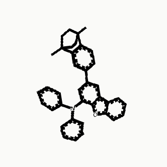 CC12CCC(C)(CC1)c1cc(-c3cc(N(c4ccccc4)c4ccccc4)c4oc5ccccc5c4c3)ccc12